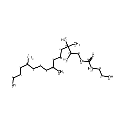 CC(C)CCCC(C)CCCC(C)CCCC(C)(O)C(O)COC(=O)NCCO